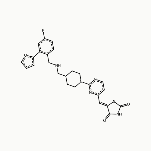 O=C1NC(=O)/C(=C/c2ccnc(N3CCC(CNCc4ccc(F)cc4-c4ccco4)CC3)n2)S1